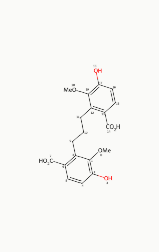 COc1c(O)ccc(C(=O)O)c1CCCc1c(C(=O)O)ccc(O)c1OC